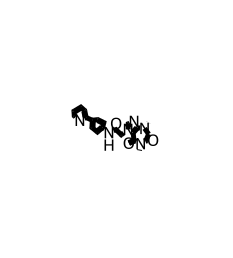 CN1C(=O)c2c(ncn2CC(=O)Nc2ccc(-c3ccccn3)cc2)N(C)C2OC21